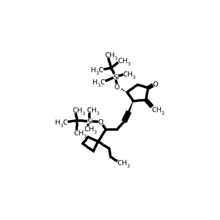 C=C1C(=O)C[C@@H](O[Si](C)(C)C(C)(C)C)[C@@H]1C#CCC(O[Si](C)(C)C(C)(C)C)C1(CCC)CCC1